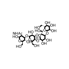 CC(=O)N[C@@H]1[C@@H](O[C@H]2O[C@H](CO)[C@H](O[C@@H]3O[C@H](CO)[C@@H](O[C@@H]4O[C@H](CO)[C@H](O)[C@H](O)[C@H]4O)[C@H](O)[C@@H]3O)[C@H](O)[C@H]2O)[C@H](O)[C@@H](CO)O[C@H]1O